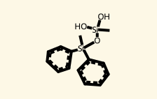 C[Si](O)(O)O[Si](C)(c1ccccc1)c1ccccc1